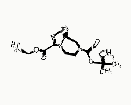 CCOC(=O)c1nnc2n1CCN(C(=O)OC(C)(C)C)C2